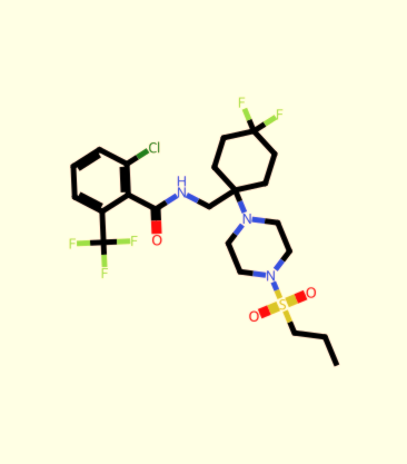 CCCS(=O)(=O)N1CCN(C2(CNC(=O)c3c(Cl)cccc3C(F)(F)F)CCC(F)(F)CC2)CC1